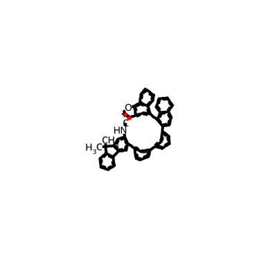 CC1(C)c2ccccc2-c2cc3c(cc21)NCC12CC=CC=C1Oc1c2cc(c2ccccc12)-c1c(ccc2ccccc12)-c1cccc(c1)-c1cccc-3c1